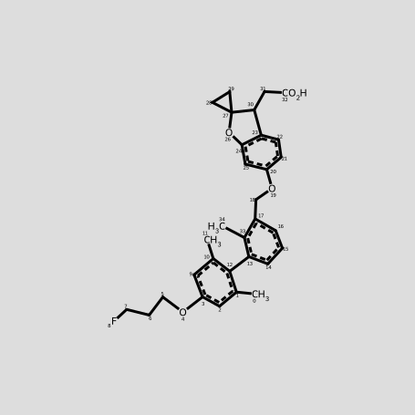 Cc1cc(OCCCF)cc(C)c1-c1cccc(COc2ccc3c(c2)OC2(CC2)C3CC(=O)O)c1C